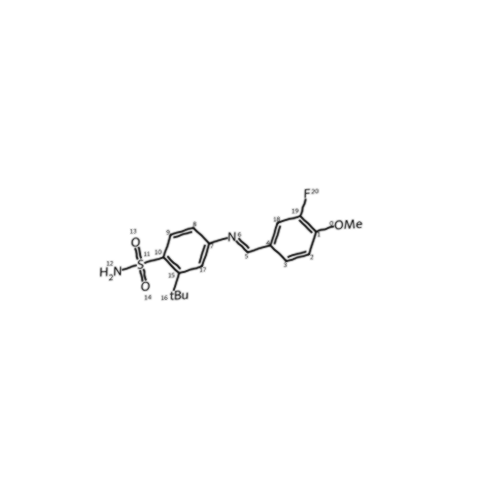 COc1ccc(C=Nc2ccc(S(N)(=O)=O)c(C(C)(C)C)c2)cc1F